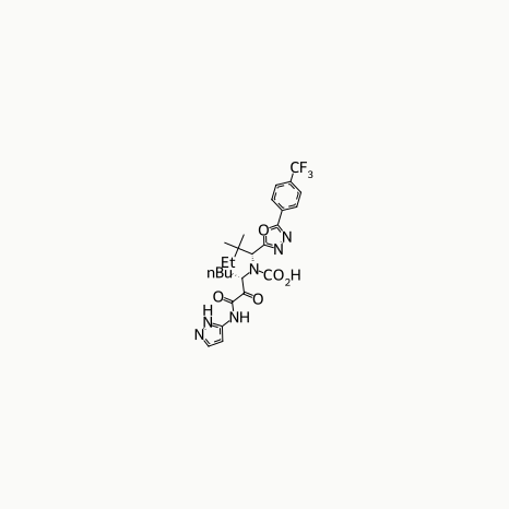 CCCC[C@@H](C(=O)C(=O)Nc1ccn[nH]1)N(C(=O)O)[C@@H](c1nnc(-c2ccc(C(F)(F)F)cc2)o1)C(C)(C)CC